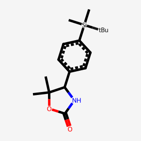 CC1(C)OC(=O)NC1c1ccc([Si](C)(C)C(C)(C)C)cc1